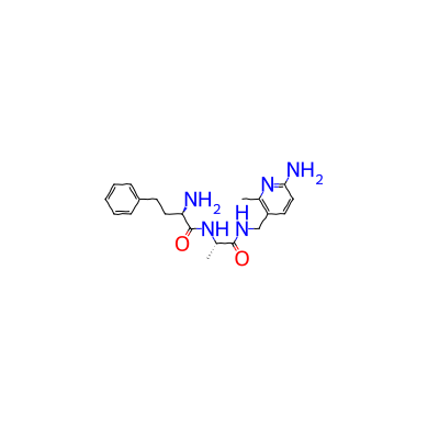 Cc1nc(N)ccc1CNC(=O)[C@H](C)NC(=O)[C@H](N)CCc1ccccc1